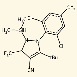 C[SiH](C)N1C(C(F)(F)F)C(C#N)=C(C(C)(C)C)N1c1c(Cl)cc(C(F)(F)F)cc1Cl